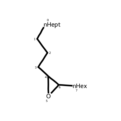 CCCCCCCCCCC1OC1CCCCCC